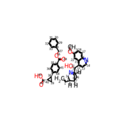 C=C[C@H]1C[N@]2CC[C@H]1C[C@H]2[C@H](O)c1ccnc2ccc(OC)cc12.O=C(OCc1ccccc1)c1ccc([C@H]2C[C@@H]2C(=O)O)cc1